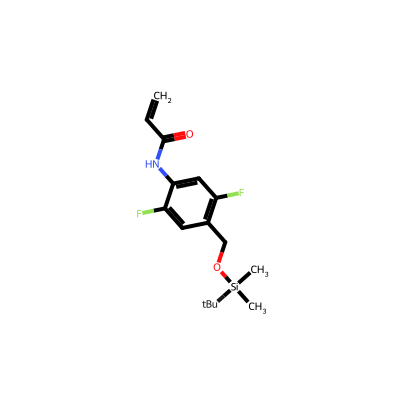 C=CC(=O)Nc1cc(F)c(CO[Si](C)(C)C(C)(C)C)cc1F